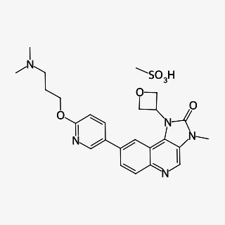 CN(C)CCCOc1ccc(-c2ccc3ncc4c(c3c2)n(C2COC2)c(=O)n4C)cn1.CS(=O)(=O)O